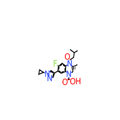 CC(C)CC(=O)N1c2cc(F)c(-c3cnn(C4CC4)c3)cc2N(C(=O)O)C[C@@H]1C